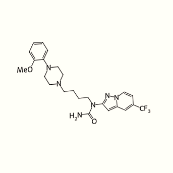 COc1ccccc1N1CCN(CCCCN(C(N)=O)c2cc3cc(C(F)(F)F)ccn3n2)CC1